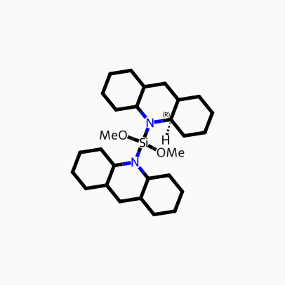 CO[Si](OC)(N1C2CCCCC2CC2CCCCC21)N1C2CCCCC2CC2CCCC[C@H]21